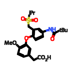 COc1ccc(CC(=O)O)cc1Oc1ccc(NC(=O)C(C)(C)C)cc1CS(=O)(=O)C(C)C